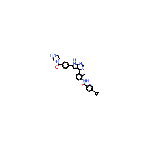 Cc1c(NC(=O)c2ccc(C3CC3)cc2)cccc1-c1ncnc2[nH]c(-c3ccc(C(=O)N4CCNCC4)cc3)cc12